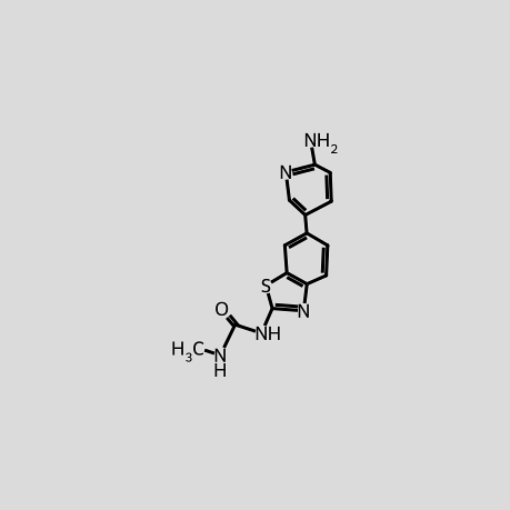 CNC(=O)Nc1nc2ccc(-c3ccc(N)nc3)cc2s1